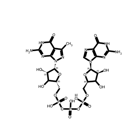 Cc1nn([C@@H]2O[C@H](COP(=O)(O)OP(=O)(O)OP(=O)(O)OC[C@H]3O[C@@H](n4cnc5c(=O)[nH]c(N)nc54)[C@@H](O)C3O)C(O)[C@@H]2O)c2nc(N)[nH]c(=O)c12